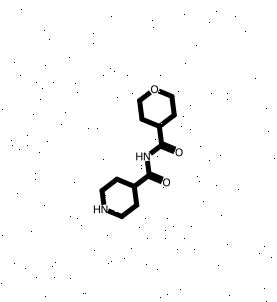 O=C(NC(=O)C1CCOCC1)C1CCNCC1